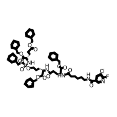 O=C(CC[C@H](NC(=O)CCCCCNC(=O)c1cnc(F)c(Cl)c1)C(=O)OCc1ccccc1)N[C@@H](CCCOP(=O)(N[C@@H](CCC(=O)OCc1ccccc1)C(=O)OCc1ccccc1)OCc1ccccc1)C(=O)OCc1ccccc1